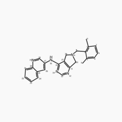 Cc1cccc(C)c1CN1Cc2ncnc(Nc3cnc4ccccc4c3)c2C1